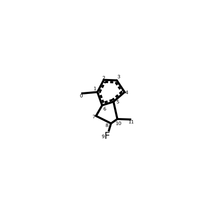 Cc1cccc2c1CC(F)C2C